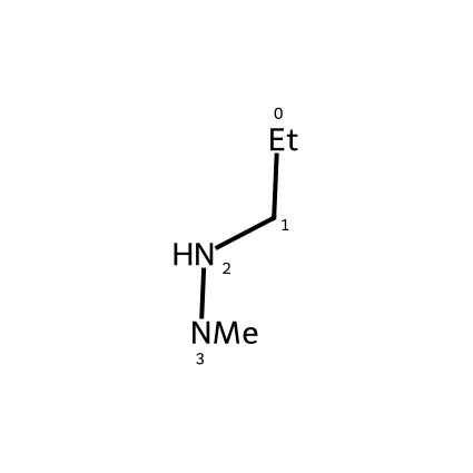 CCCNNC